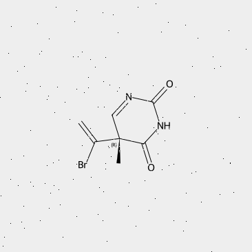 C=C(Br)[C@]1(C)C=NC(=O)NC1=O